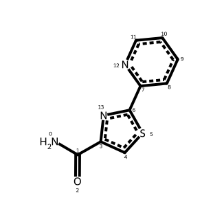 NC(=O)c1csc(-c2ccccn2)n1